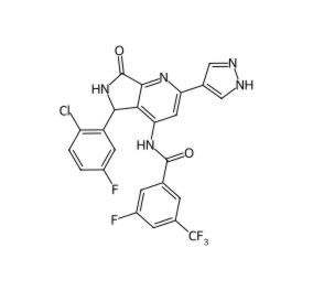 O=C(Nc1cc(-c2cn[nH]c2)nc2c1C(c1cc(F)ccc1Cl)NC2=O)c1cc(F)cc(C(F)(F)F)c1